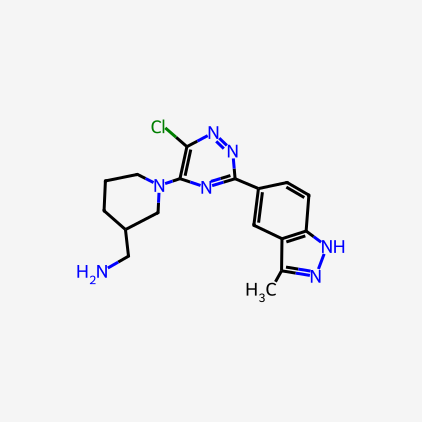 Cc1n[nH]c2ccc(-c3nnc(Cl)c(N4CCCC(CN)C4)n3)cc12